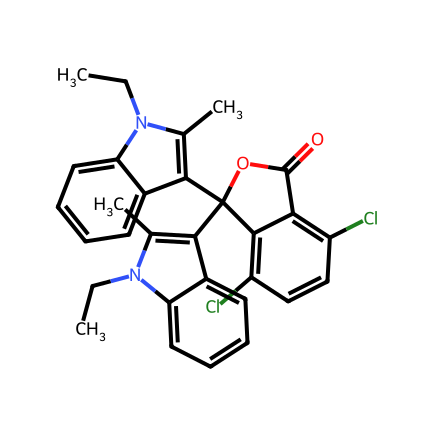 CCn1c(C)c(C2(c3c(C)n(CC)c4ccccc34)OC(=O)c3c(Cl)ccc(Cl)c32)c2ccccc21